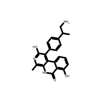 Cc1nc(O)c(-c2ccc(C(C)CN)cc2)c2c1[nH]c(=O)c1c(O)cccc12